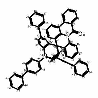 O=c1c2ccccc2c2cccc3c2n1-c1ccccc1C31c2cc(-c3ccccc3)ccc2N(c2ccc(-c3ccccc3)cc2)c2ccc(-c3ccccc3)cc21